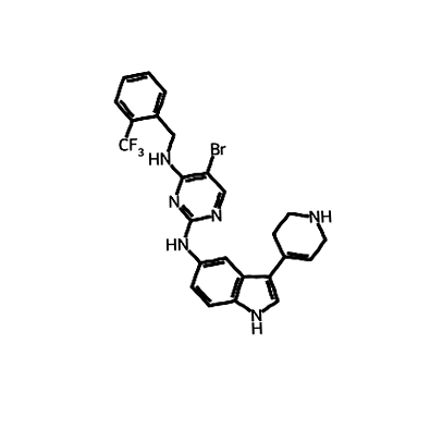 FC(F)(F)c1ccccc1CNc1nc(Nc2ccc3[nH]cc(C4=CCNCC4)c3c2)ncc1Br